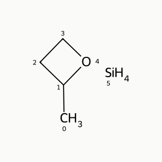 CC1CCO1.[SiH4]